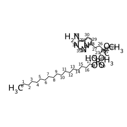 CCCCCCCCCCCCCCCCCCOP(=O)(O)OC[C@](C)(CCc1ccc2c(N)ncnn12)OC